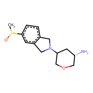 C[S+]([O-])c1ccc2c(c1)CN(C1COC[C@@H](N)C1)C2